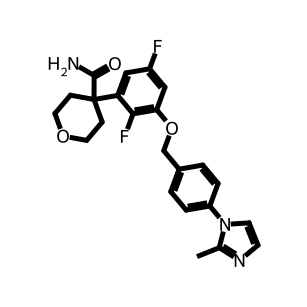 Cc1nccn1-c1ccc(COc2cc(F)cc(C3(C(N)=O)CCOCC3)c2F)cc1